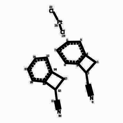 N#CC1Cc2ccccc21.N#CC1Cc2ccccc21.[Cl][Pt][Cl]